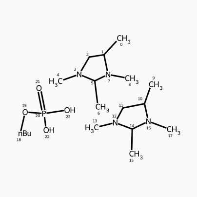 CC1CN(C)C(C)N1C.CC1CN(C)C(C)N1C.CCCCOP(=O)(O)O